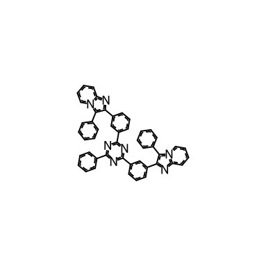 c1ccc(-c2nc(-c3cccc(-c4nc5ccccn5c4-c4ccccc4)c3)nc(-c3cccc(-c4nc5ccccn5c4-c4ccccc4)c3)n2)cc1